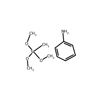 CO[Si](C)(OC)OC.Nc1ccccc1